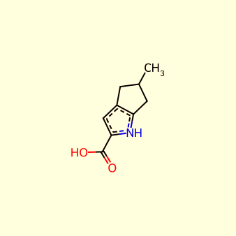 CC1Cc2cc(C(=O)O)[nH]c2C1